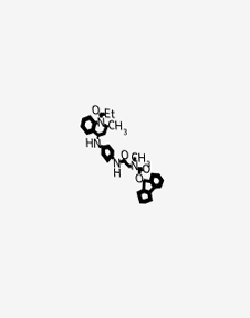 CCC(=O)N1c2ccccc2[C@H](Nc2ccc(NC(=O)CN(C)C(=O)OC3c4ccccc4-c4ccccc43)cc2)C[C@@H]1C